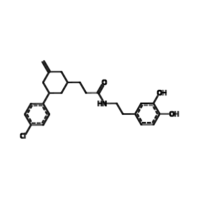 C=C1CC(CCC(=O)NCCc2ccc(O)c(O)c2)CC(c2ccc(Cl)cc2)C1